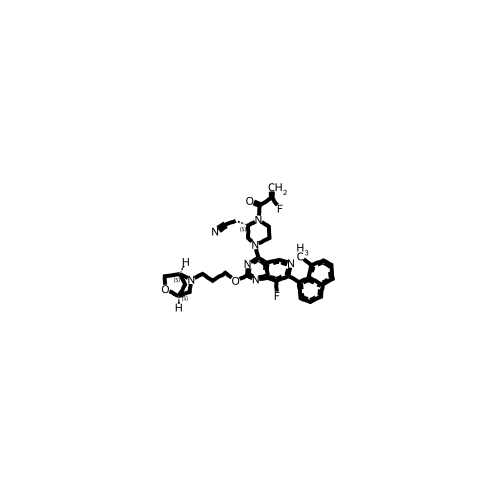 C=C(F)C(=O)N1CCN(c2nc(OCCCN3C[C@@H]4C[C@H]3CO4)nc3c(F)c(-c4cccc5cccc(C)c45)ncc23)C[C@@H]1CC#N